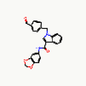 O=Cc1ccc(Cn2cc(C(=O)Nc3ccc4c(c3)OCO4)c3ccccc32)cc1